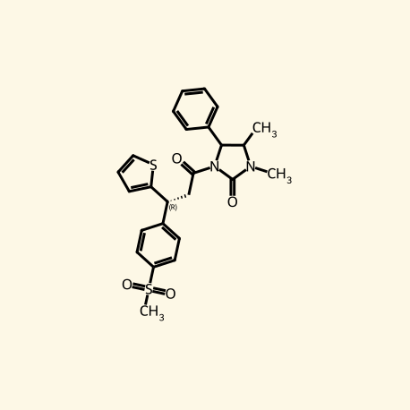 CC1C(c2ccccc2)N(C(=O)C[C@H](c2ccc(S(C)(=O)=O)cc2)c2cccs2)C(=O)N1C